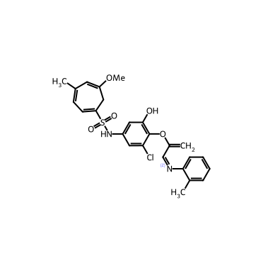 C=C(/C=N\c1ccccc1C)Oc1c(O)cc(NS(=O)(=O)C2=CC=C(C)C=C(OC)C2)cc1Cl